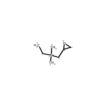 CC[N+](C)(C)CC1CO1